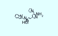 CN(Cc1cc2ccccc2n1C)C(=O)/C=C/c1cnc(N)c(CN2CCCC2)c1.Cl